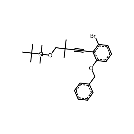 CC(C)(C#Cc1c(Br)cccc1OCc1ccccc1)CO[Si](C)(C)C(C)(C)C